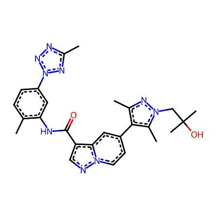 Cc1nnn(-c2ccc(C)c(NC(=O)c3cnn4ccc(-c5c(C)nn(CC(C)(C)O)c5C)cc34)c2)n1